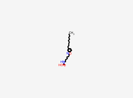 CCCCCCCCCCc1ccc2oc(CCCCCNC(=O)O)nc2c1